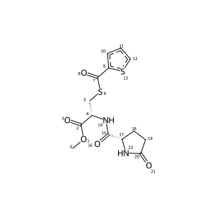 COC(=O)[C@H](CSC(=O)c1cccs1)NC(=O)[C@@H]1CCC(=O)N1